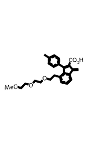 C=C1C(C(=O)O)=C(c2ccc(C)cc2)c2c(CCOCCOCCOC)cccc21